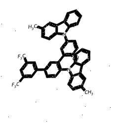 Cc1ccc2c(c1)c1ccccc1n2-c1ccc(C#N)c(-c2cc(-c3cc(C(F)(F)F)cc(C(F)(F)F)c3)ccc2-n2c3ccccc3c3cc(C)ccc32)c1